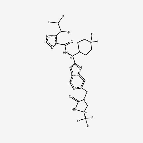 O=C(N[C@H](c1cn2ncc(CN3C[C@@H](C(F)(F)F)NC3=O)cc2n1)C1CCC(F)(F)CC1)c1nonc1C(F)C(F)F